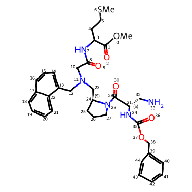 COC(=O)C(CCSC)NC(=O)CN(Cc1cccc2ccccc12)C[C@@H]1CCCN1C(=O)[C@H](CN)NC(=O)OCc1ccccc1